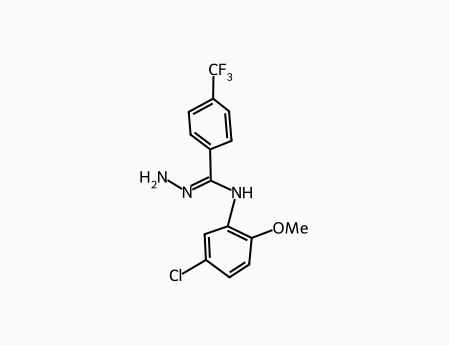 COc1ccc(Cl)cc1NC(=NN)c1ccc(C(F)(F)F)cc1